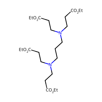 CCOC(=O)CCN(CCCN(CCC(=O)OCC)CCC(=O)OCC)CCC(=O)OCC